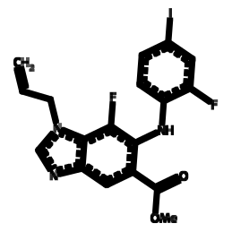 C=CCn1cnc2cc(C(=O)OC)c(Nc3ccc(I)cc3F)c(F)c21